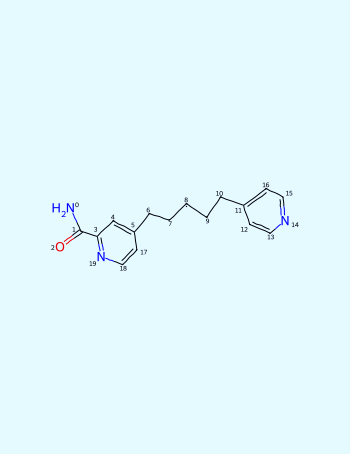 NC(=O)c1cc(CC[CH]CCc2ccncc2)ccn1